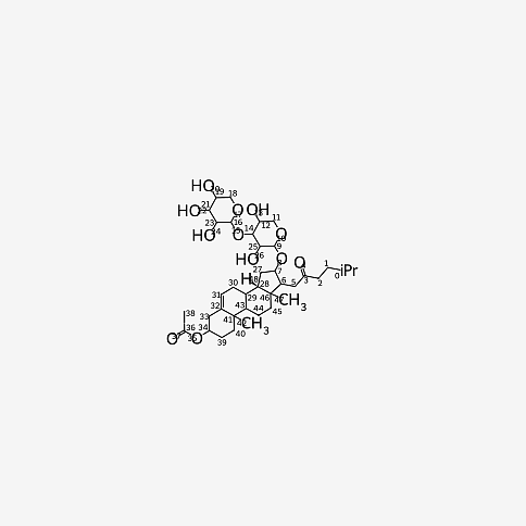 CC(C)CCC(=O)CC1C(OC2OCC(O)C(OC3OCC(O)C(O)C3O)C2O)C[C@H]2C3CC=C4CC(OC(=O)I)CCC4(C)C3CCC12C